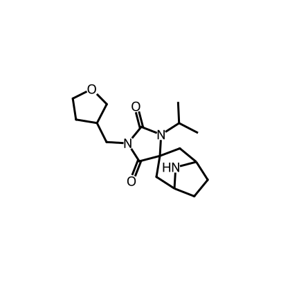 CC(C)N1C(=O)N(CC2CCOC2)C(=O)C12CC1CCC(C2)N1